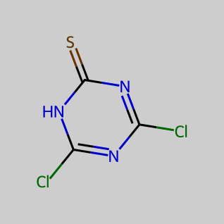 S=c1nc(Cl)nc(Cl)[nH]1